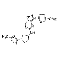 COc1ccc(-n2nnc3cnc(N[C@@H]4CC[C@H](c5ncc(C)o5)C4)nc32)cc1